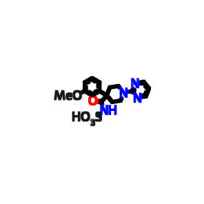 COc1cccc(C2(C(=O)NS(=O)(=O)O)CCN(c3ncccn3)CC2)c1